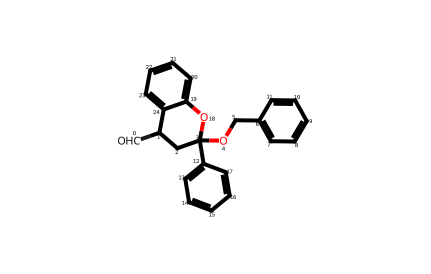 O=CC1CC(OCc2ccccc2)(c2ccccc2)Oc2ccccc21